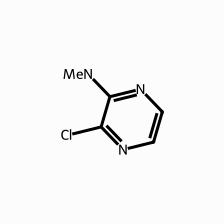 CNc1nccnc1Cl